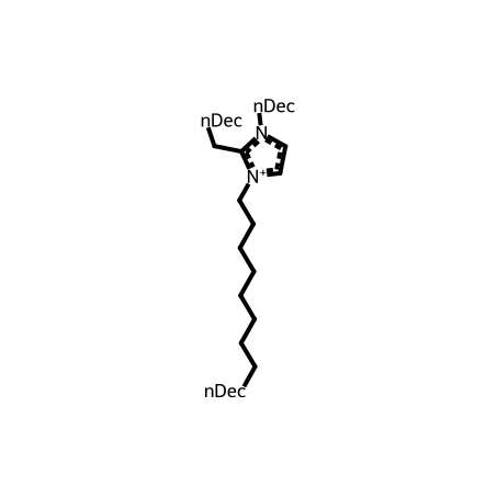 CCCCCCCCCCCCCCCCCC[n+]1ccn(CCCCCCCCCC)c1CCCCCCCCCCC